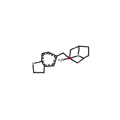 NC1CC2CCC(C1)N2CCc1ccc2c(c1)CCO2